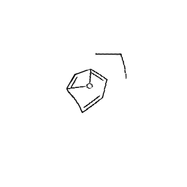 CCI.c1cc2cc(c1)O2